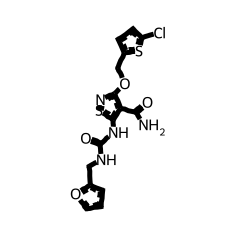 NC(=O)c1c(OCc2ccc(Cl)s2)nsc1NC(=O)NCc1ccco1